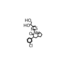 O=C(Nc1nc(C(O)CO)cs1)C(CC1CCCC1)c1cccc(Cl)c1